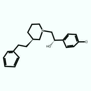 O[C@H](CN1CCC[C@H](CCc2ccccc2)C1)c1ccc(Cl)cc1